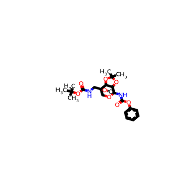 CC(C)(C)OC(=O)NCC12COC(NC(=O)Oc3ccccc3)(CO1)C1OC(C)(C)OC12